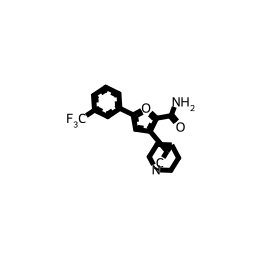 NC(=O)c1oc(-c2cccc(C(F)(F)F)c2)cc1C1CN2CCC1CC2